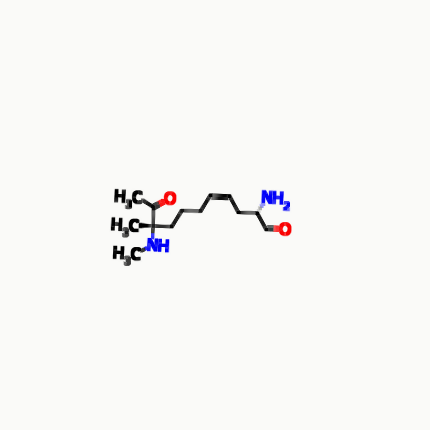 CN[C@@](C)(CCC/C=C\C[C@H](N)C=O)C(C)=O